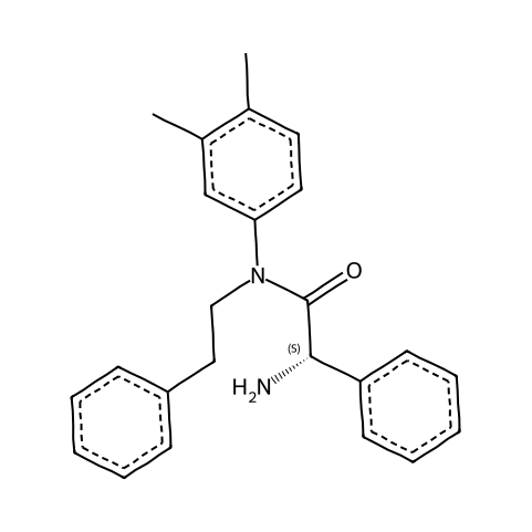 Cc1ccc(N(CCc2ccccc2)C(=O)[C@@H](N)c2ccccc2)cc1C